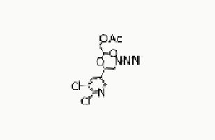 CC(=O)OCC(=O)OC(=CN=[N+]=[N-])c1cnc(Cl)c(Cl)c1